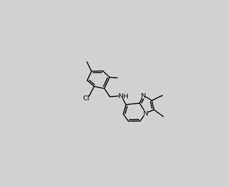 Cc1cc(C)c(CNc2cccn3c(C)c(C)nc23)c(Cl)c1